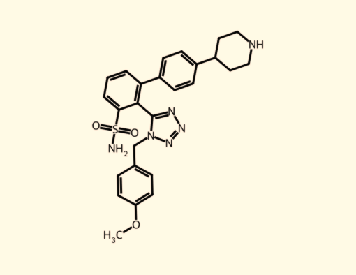 COc1ccc(Cn2nnnc2-c2c(-c3ccc(C4CCNCC4)cc3)cccc2S(N)(=O)=O)cc1